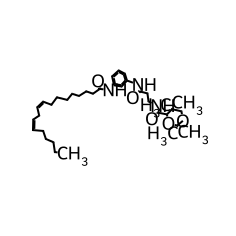 CCCCC/C=C\C/C=C\CCCCCCCC(=O)Nc1cccc(NC(=O)CCNC(=O)C2OC(C)(C)OCC2(C)C)c1